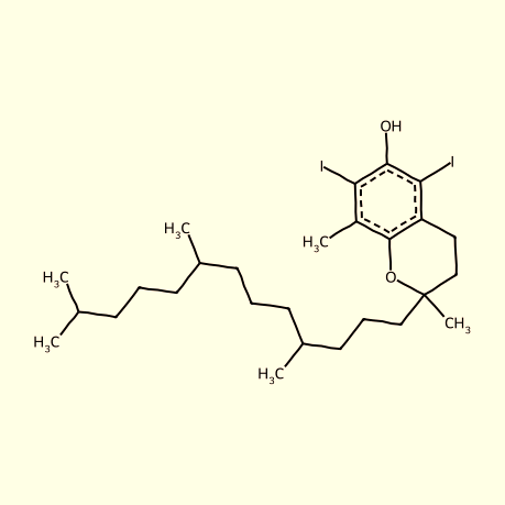 Cc1c(I)c(O)c(I)c2c1OC(C)(CCCC(C)CCCC(C)CCCC(C)C)CC2